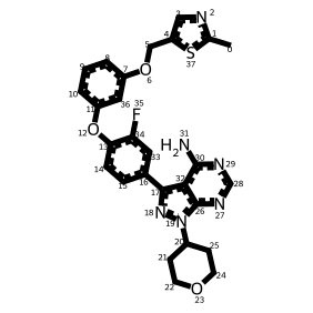 Cc1ncc(COc2cccc(Oc3ccc(-c4nn(C5CCOCC5)c5ncnc(N)c45)cc3F)c2)s1